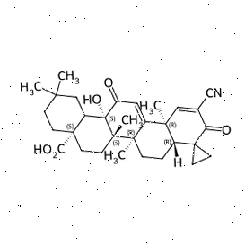 CC1(C)CC[C@]2(C(=O)O)CC[C@@]3(C)[C@]4(C)CC[C@H]5C6(CC6)C(=O)C(C#N)=C[C@]5(C)C4=CC(=O)[C@]3(O)C2C1